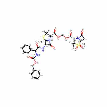 CC1(C)S[C@@H]2[C@H](NC(=O)C(NC(=O)OCc3ccccc3)c3ccccc3)C(=O)N2[C@H]1C(=O)OCOC(=O)[C@@H]1N2C(=O)C[C@H]2S(=O)(=O)C1(C)C